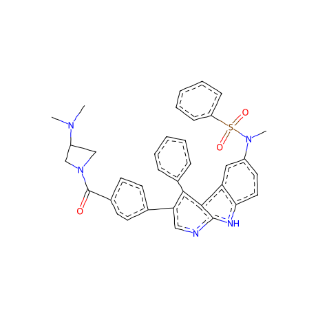 CN(C)C1CN(C(=O)c2ccc(-c3cnc4[nH]c5ccc(N(C)S(=O)(=O)c6ccccc6)cc5c4c3-c3ccccc3)cc2)C1